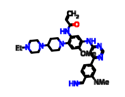 C=CC(=O)Nc1cc(Nc2cc(-c3ccc(C=N)c(NC)c3)ncn2)c(OC)cc1N1CCC(N2CCN(CC)CC2)CC1